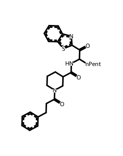 CCCCCC(NC(=O)C1CCCN(C(=O)CCc2ccccc2)C1)C(=O)c1nc2ccccc2s1